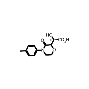 Cc1ccc(N2CCOC([C@@H](O)C(=O)O)C2=O)cc1